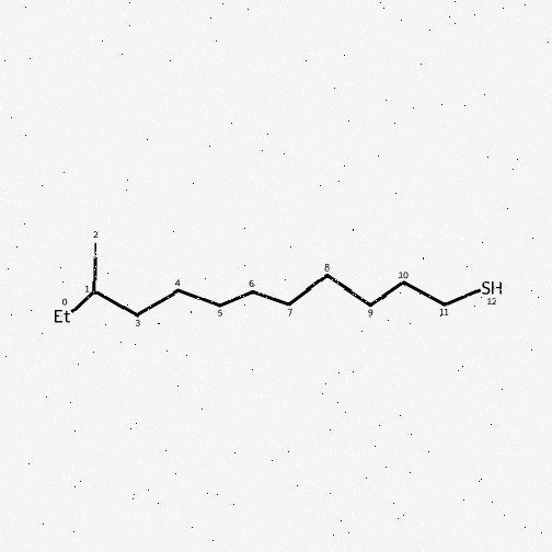 CCC(I)CCCCCCCCCS